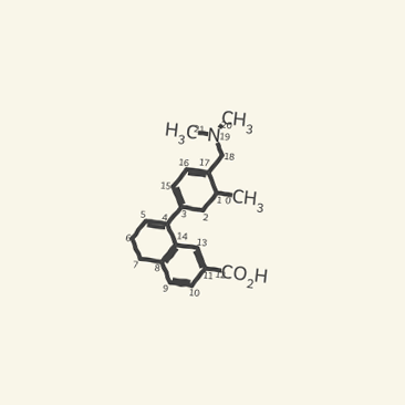 CC1CC(C2=CCCc3ccc(C(=O)O)cc32)=CC=C1CN(C)C